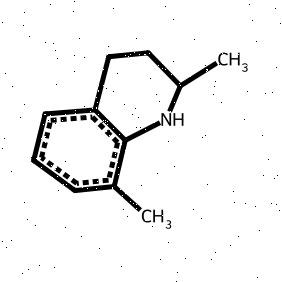 Cc1cccc2c1NC(C)CC2